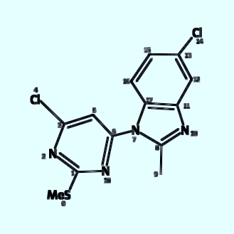 CSc1nc(Cl)cc(-n2c(C)nc3cc(Cl)ccc32)n1